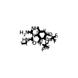 CCNC(=O)N(C(=N)N)c1c(C)cc(OC(F)(F)F)c(OC(F)(F)F)c1C